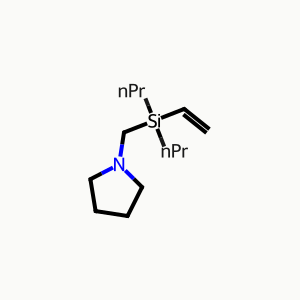 C=C[Si](CCC)(CCC)CN1CCCC1